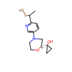 CC(SS)c1ccc(N2CCO[C@@H](C3(O)CC3)C2)cn1